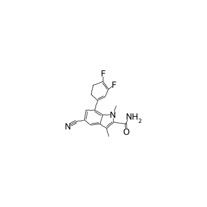 Cc1c(C(N)=O)n(C)c2c(C3=CC(F)=C(F)CC3)cc(C#N)cc12